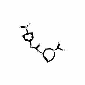 O=C(Oc1ccc([N+](=O)[O-])cc1)O[C@@H]1C=CCCN(C(=O)O)CC1